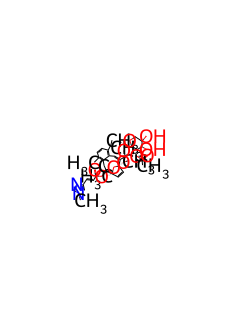 CO[C@]12C=C[C@](C)(O1)[C@@H](OC(=O)/C=C/c1cn(C)cn1)Cc1c(C)ccc(C(C)C)c1/C=C\2CO[C@@H]1OC[C@@H](O)[C@@H](O)[C@@H]1OC(C)=O